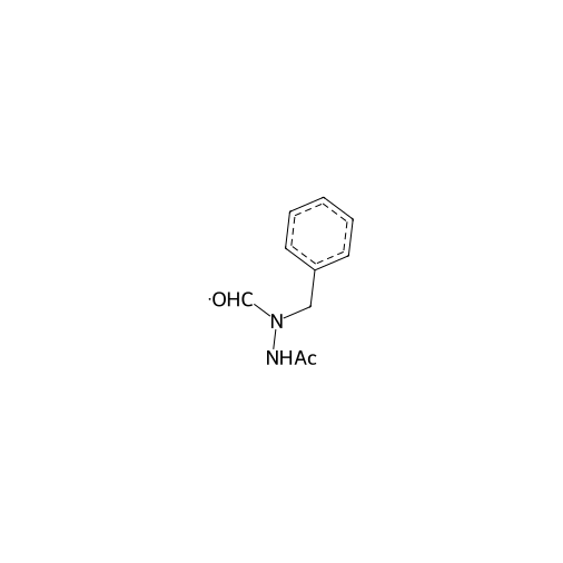 CC(=O)NN([C]=O)Cc1ccccc1